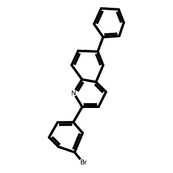 Brc1cccc(-c2ccc3cc(-c4ccccc4)ccc3n2)c1